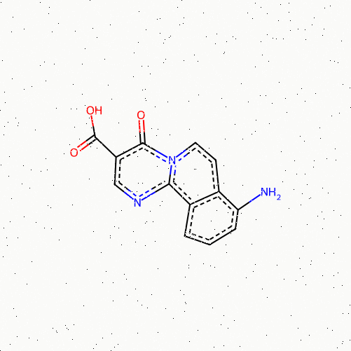 Nc1cccc2c1ccn1c(=O)c(C(=O)O)cnc21